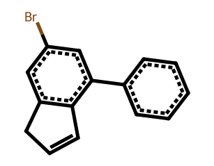 Brc1cc2c(c(-c3ccccc3)c1)C=CC2